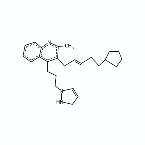 Cc1nc2ccccc2c(CCCN2C=CCN2)c1C/C=C/CCC1CCCC1